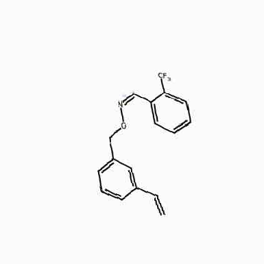 C=Cc1cccc(CO/N=[C]\c2ccccc2C(F)(F)F)c1